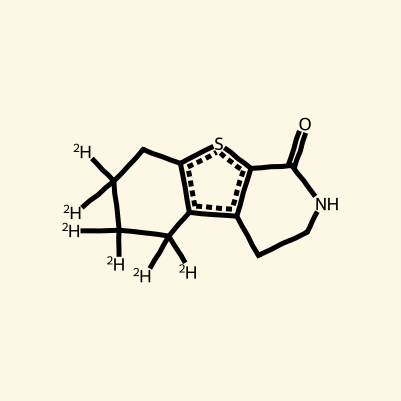 [2H]C1([2H])Cc2sc3c(c2C([2H])([2H])C1([2H])[2H])CCNC3=O